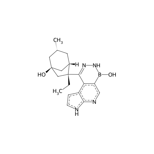 CC[C@@]1(C2=NNB(O)c3cnc4[nH]ccc4c32)C[C@]2(O)C[C@H](C)C[C@H]1C2